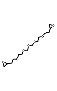 C(COCOCOCCOCCC1CO1)OCCC1CO1